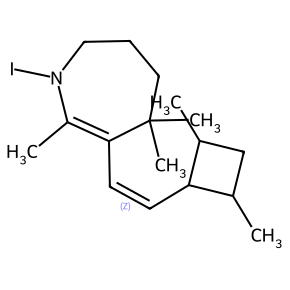 CC1=C(/C=C\C2C(C)CC2C)C(C)(C)CCCN1I